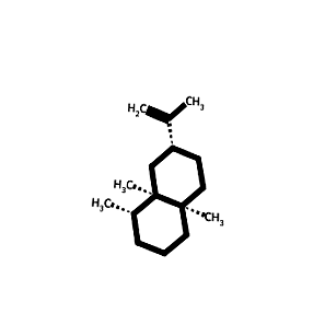 C=C(C)[C@@H]1CC[C@@]2(C)CCC[C@H](C)[C@@]2(C)C1